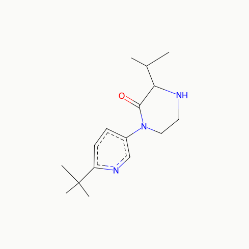 CC(C)C1NCCN(c2ccc(C(C)(C)C)nc2)C1=O